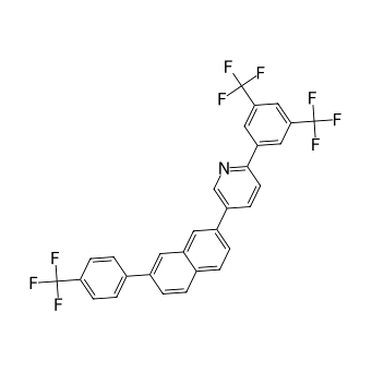 FC(F)(F)c1ccc(-c2ccc3ccc(-c4ccc(-c5cc(C(F)(F)F)cc(C(F)(F)F)c5)nc4)cc3c2)cc1